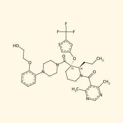 CCC[C@H]1N(C(=O)c2c(C)ncnc2C)CCC[C@@]1(Oc1csc(C(F)(F)F)c1)C(=O)N1CCN(c2ccccc2OCCO)CC1